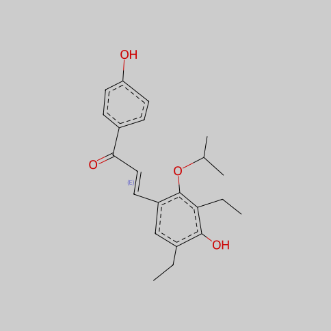 CCc1cc(/C=C/C(=O)c2ccc(O)cc2)c(OC(C)C)c(CC)c1O